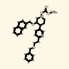 CC(C)(C)OC(=O)ON1CCC(c2ccc(CCOCc3ccccc3)nc2)C(OCc2ccc3ccccc3c2)C1